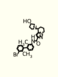 Cc1c(Br)cccc1-c1cccc(NC(=O)c2cc3n(n2)CCCC3N2CC[C@@H](O)C2)c1C